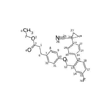 CCOC(=O)CCc1ccc(OCc2cc(F)ccc2-c2ccc(C3(C#N)CC3)cc2)cc1